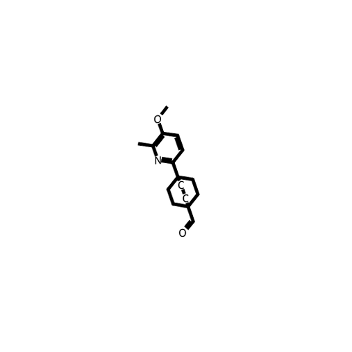 COc1ccc(C23CCC(C=O)(CC2)CC3)nc1C